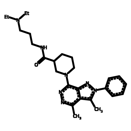 CCN(CC)CCCNC(=O)C1CCCN(c2nnc(C)c3c(C)n(-c4ccccc4)nc23)C1